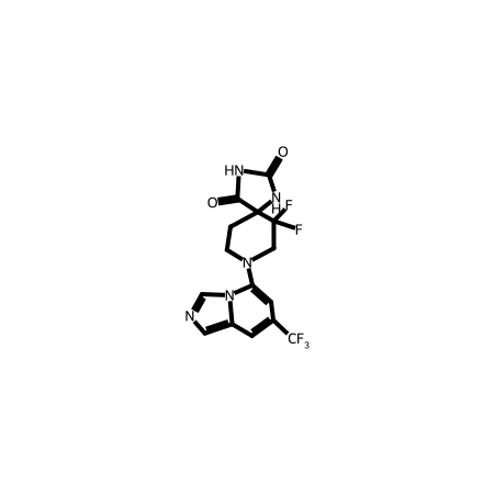 O=C1NC(=O)C2(CCN(c3cc(C(F)(F)F)cc4cncn34)CC2(F)F)N1